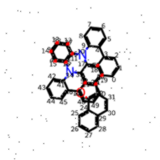 c1ccc(-c2ccccc2N(c2ccccc2)c2ccc3c(oc4c5ccccc5ccc34)c2N(c2ccccc2)c2ccccc2-c2ccccc2)cc1